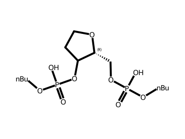 CCCCOP(=O)(O)OC[C@H]1OCCC1OP(=O)(O)OCCCC